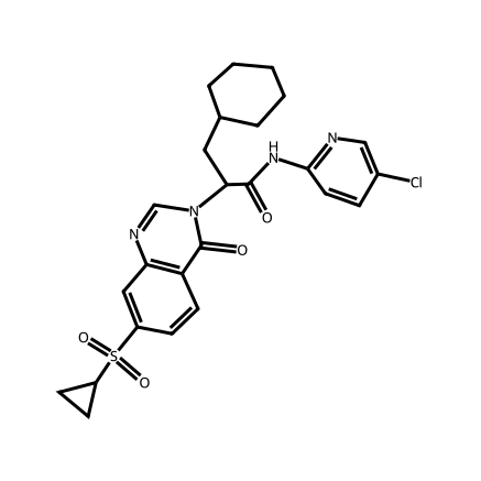 O=C(Nc1ccc(Cl)cn1)C(CC1CCCCC1)n1cnc2cc(S(=O)(=O)C3CC3)ccc2c1=O